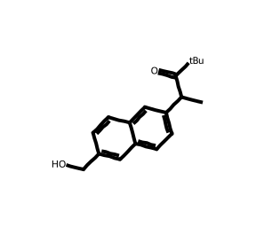 CC(C(=O)C(C)(C)C)c1ccc2cc(CO)ccc2c1